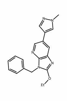 CCOc1nc2cc(-c3cnn(C)c3)cnc2n1Cc1ccccc1